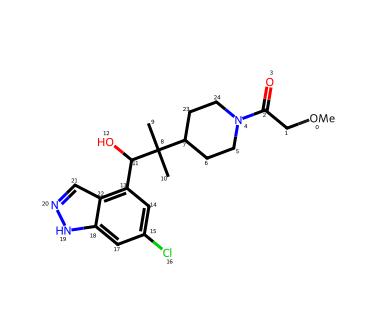 COCC(=O)N1CCC(C(C)(C)C(O)c2cc(Cl)cc3[nH]ncc23)CC1